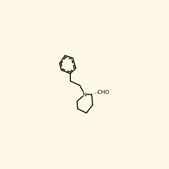 O=C[C@@H]1CCCCN1CCc1ccccc1